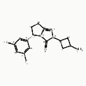 NC1CC(n2nc3n(c2=O)[C@H](c2cc(F)cc(F)c2)CC3)C1